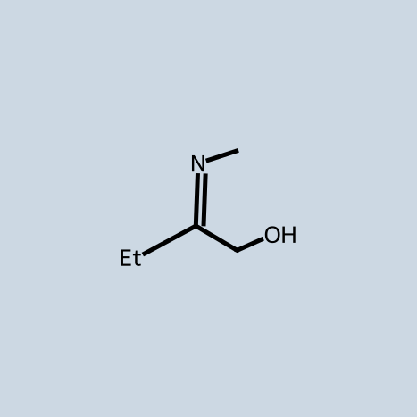 CCC(CO)=NC